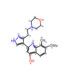 COc1ccc2c(O)cc(-c3c[nH]nc3CCN3CCOCC3)nc2c1C